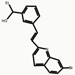 CCC(O)c1cccc(C=Cc2ccc3ccc(Br)cc3n2)c1